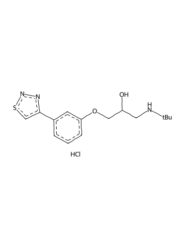 CC(C)(C)NCC(O)COc1cccc(-c2csnn2)c1.Cl